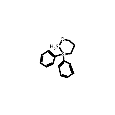 c1ccc([Si]2(c3ccccc3)CCCO[SiH2]2)cc1